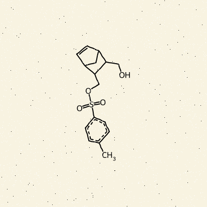 Cc1ccc(S(=O)(=O)OCC2C3C=CC(C3)C2CO)cc1